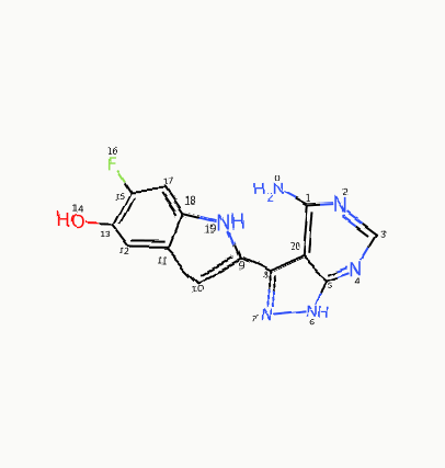 Nc1ncnc2[nH]nc(-c3cc4cc(O)c(F)cc4[nH]3)c12